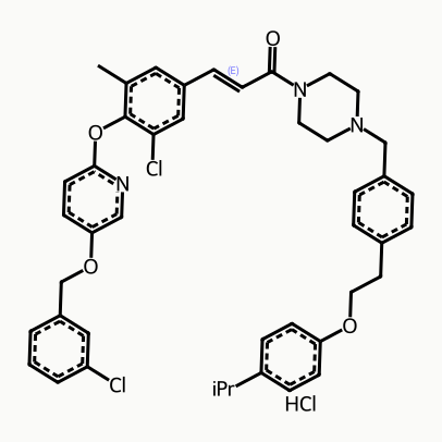 Cc1cc(/C=C/C(=O)N2CCN(Cc3ccc(CCOc4ccc(C(C)C)cc4)cc3)CC2)cc(Cl)c1Oc1ccc(OCc2cccc(Cl)c2)cn1.Cl